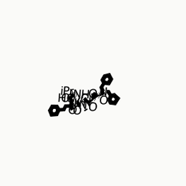 CC(C)[C@H](N)C(=O)N(C(=O)CCc1ccccc1)[C@@H](C)C(=O)N(C)N(C(=O)O)C(=O)[C@H]1O[C@@H]1C(=O)N(Cc1ccccc1)Cc1ccccc1